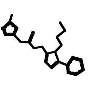 CCCCC1C(CCC(=O)Cc2coc(C)c2)=CC=C1c1ccccc1